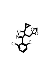 Clc1cccc(Cl)c1C1=NOC(C2CC2)C1CC1OCO1